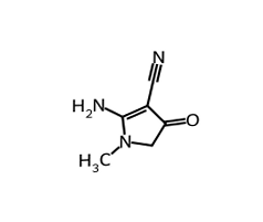 CN1CC(=O)C(C#N)=C1N